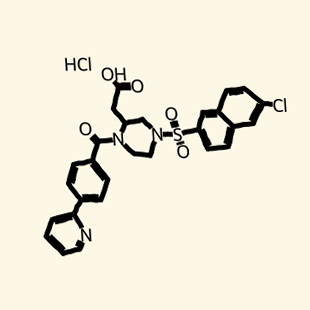 Cl.O=C(O)CC1CN(S(=O)(=O)c2ccc3cc(Cl)ccc3c2)CCN1C(=O)c1ccc(-c2ccccn2)cc1